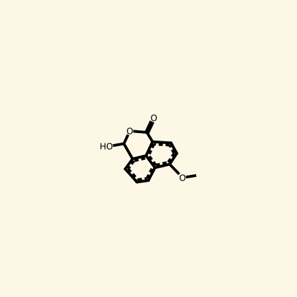 COc1ccc2c3c(cccc13)C(O)OC2=O